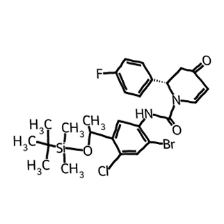 CC(O[Si](C)(C)C(C)(C)C)c1cc(NC(=O)N2C=CC(=O)C[C@H]2c2ccc(F)cc2)c(Br)cc1Cl